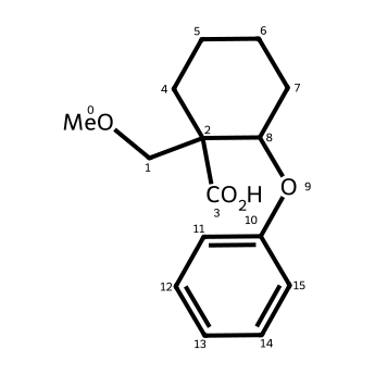 COCC1(C(=O)O)CCCCC1Oc1ccccc1